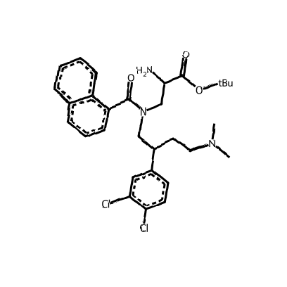 CN(C)CCC(CN(CC(N)C(=O)OC(C)(C)C)C(=O)c1cccc2ccccc12)c1ccc(Cl)c(Cl)c1